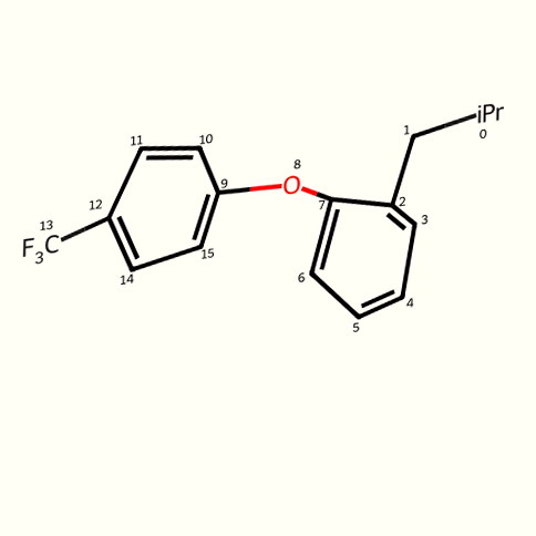 CC(C)Cc1ccccc1Oc1ccc(C(F)(F)F)cc1